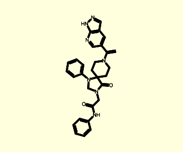 C=C(c1cnc2[nH]ncc2c1)N1CCC2(CC1)C(=O)N(CC(=O)Nc1ccccc1)CN2c1ccccc1